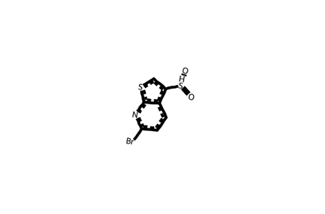 O=[SH](=O)c1csc2nc(Br)ccc12